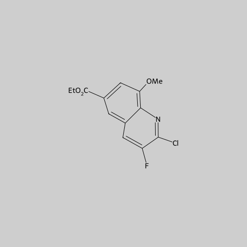 CCOC(=O)c1cc(OC)c2nc(Cl)c(F)cc2c1